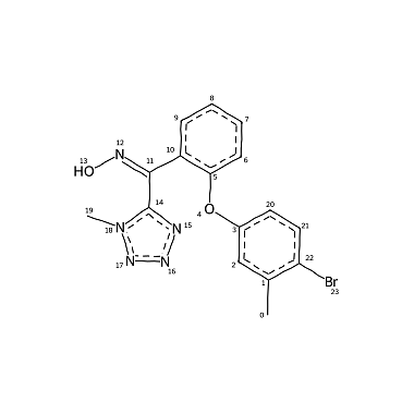 Cc1cc(Oc2ccccc2/C(=N/O)c2nnnn2C)ccc1Br